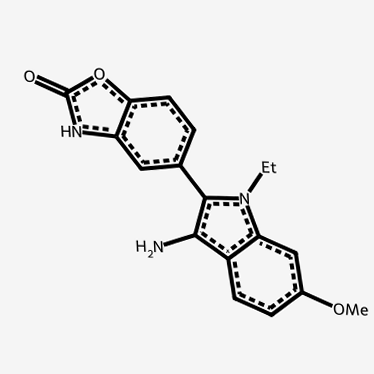 CCn1c(-c2ccc3oc(=O)[nH]c3c2)c(N)c2ccc(OC)cc21